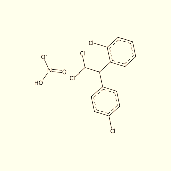 Clc1ccc(C(c2ccccc2Cl)C(Cl)Cl)cc1.O=[N+]([O-])O